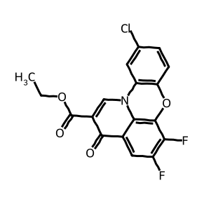 CCOC(=O)c1cn2c3c(c(F)c(F)cc3c1=O)Oc1ccc(Cl)cc1-2